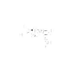 N.N.N.O=P(O)(O)O.O=S(=O)(O)O.O=S(=O)([O-])O.[K+]